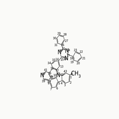 Cc1ccc2c3ccccc3n(-c3cc(-c4nc(-c5ccccc5)nc(-c5ccccc5)n4)ccc3-c3cccnc3)c2c1